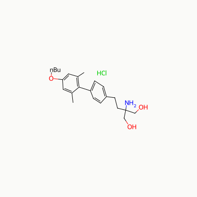 CCCCOc1cc(C)c(-c2ccc(CCC(N)(CO)CO)cc2)c(C)c1.Cl